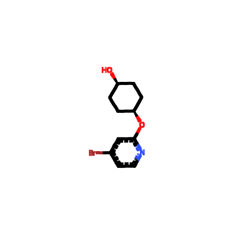 O[C@H]1CC[C@@H](Oc2cc(Br)ccn2)CC1